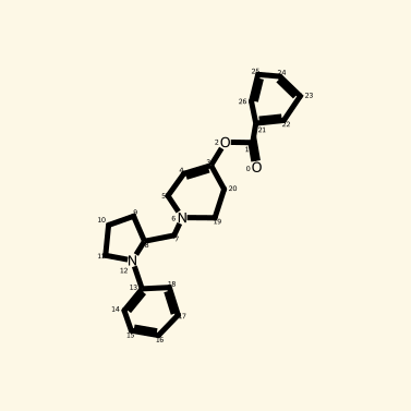 O=C(OC1=CCN(CC2CCCN2c2ccccc2)CC1)c1ccccc1